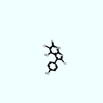 O=c1[nH]c2sc(Cl)c(-c3ccc(O)cc3)c2c(O)c1Cl